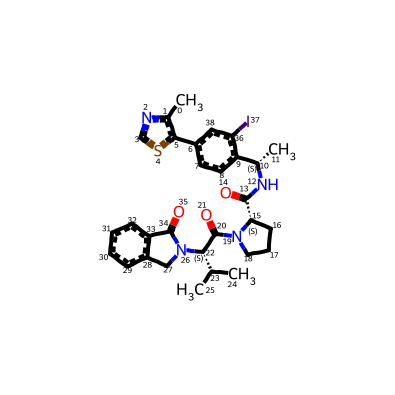 Cc1ncsc1-c1ccc([C@H](C)NC(=O)[C@@H]2CCCN2C(=O)[C@H](C(C)C)N2Cc3ccccc3C2=O)c(I)c1